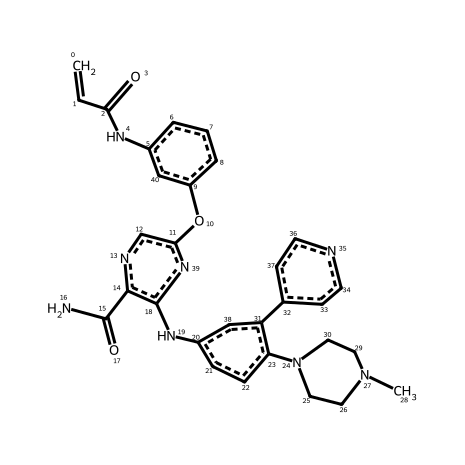 C=CC(=O)Nc1cccc(Oc2cnc(C(N)=O)c(Nc3ccc(N4CCN(C)CC4)c(-c4ccncc4)c3)n2)c1